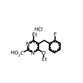 CCOc1nc(C(=O)O)nc(CC)c1Cc1ccccc1F.Cl